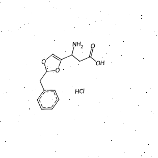 Cl.NC(CC(=O)O)C1=COC(Cc2ccccc2)O1